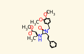 COC(=O)C=C(C)NC1C(=O)N(Cc2ccc(OC)c(OC)c2)C1C=Cc1ccccc1